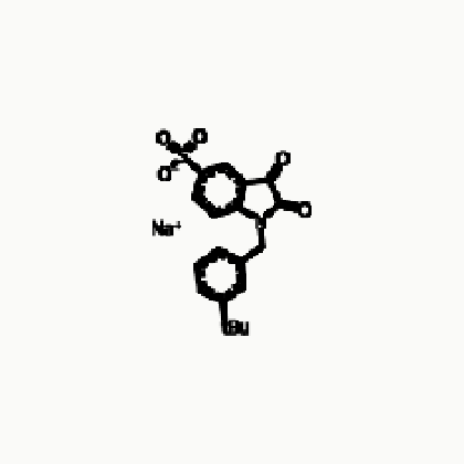 CC(C)(C)c1cccc(CN2C(=O)C(=O)c3cc(S(=O)(=O)[O-])ccc32)c1.[Na+]